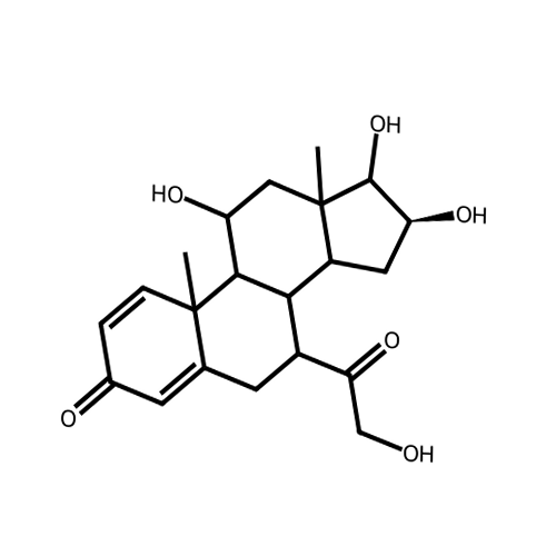 CC12C=CC(=O)C=C1CC(C(=O)CO)C1C2C(O)CC2(C)C1C[C@H](O)C2O